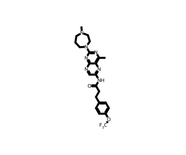 Cc1nc(N2CCCN(C)CC2)nc2ncc(NC(=O)CCc3ccc(OC(F)(F)F)cc3)nc12